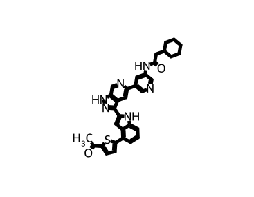 CC(=O)c1ccc(-c2cccc3[nH]c(-c4n[nH]c5cnc(-c6cncc(NC(=O)CC7CCCCC7)c6)cc45)cc23)s1